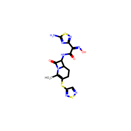 Nc1nc(/C(=N/O)C(=O)NC2C(=O)N3C(C(=O)O)=C(Sc4cnsn4)CCC23)ns1